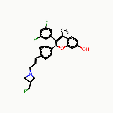 CC1=C(c2cc(F)cc(F)c2)[C@H](c2ccc(/C=C/CN3CC(CF)C3)cc2)Oc2cc(O)ccc21